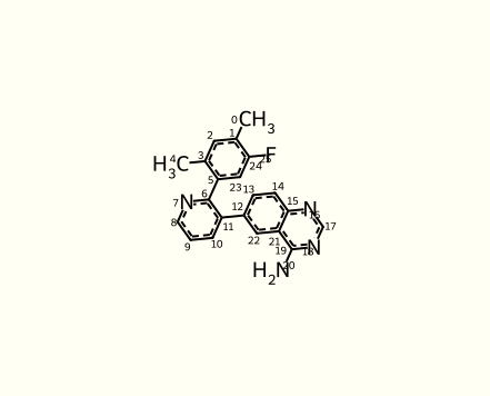 Cc1cc(C)c(-c2ncccc2-c2ccc3ncnc(N)c3c2)cc1F